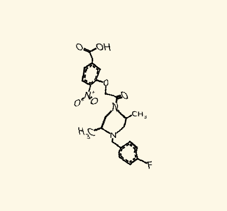 CC1CN(C(=O)COc2cc(C(=O)O)ccc2[N+](=O)[O-])C(C)CN1Cc1ccc(F)cc1